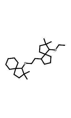 CCOC1C(C)(C)CCC12CCCC2CCOC1C(C)(C)CCC12CCCCC2